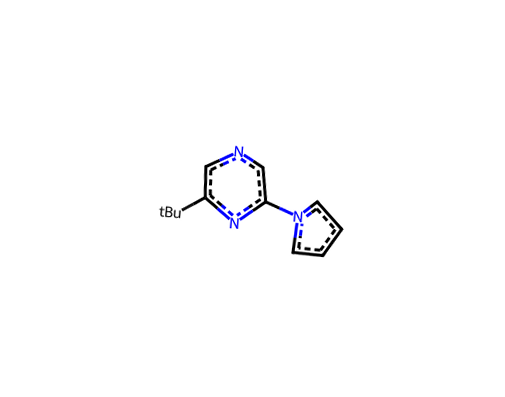 CC(C)(C)c1cncc(-n2cccc2)n1